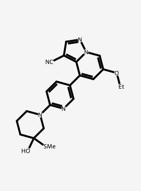 CCOc1cc(-c2ccc(N3CCCC(O)(SC)C3)nc2)c2c(C#N)cnn2c1